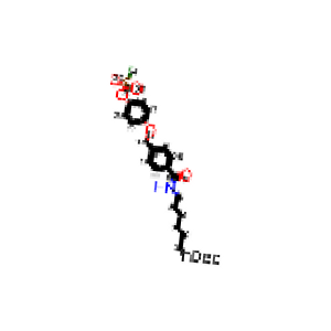 CCCCCCCCCCCCCCCCNC(=O)c1ccc(COc2ccc(OS(=O)(=O)F)cc2)cc1